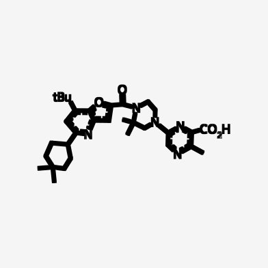 Cc1ncc(N2CCN(C(=O)c3cc4nc(C5CCC(C)(C)CC5)cc(C(C)(C)C)c4o3)C(C)(C)C2)nc1C(=O)O